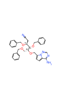 N#CC[C@H](OCc1ccccc1)[C@H](OCc1ccccc1)[C@@H](COCc1ccccc1)OCc1ccc2c(N)ncnn12